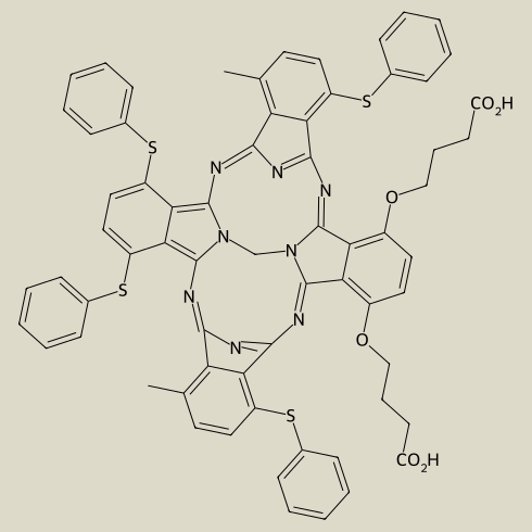 Cc1ccc(Sc2ccccc2)c2c1/C1=N/c3c4c(Sc5ccccc5)ccc(Sc5ccccc5)c4c4n3Cn3/c(c5c(OCCCC(=O)O)ccc(OCCCC(=O)O)c5/c3=N/C3=NC(=N\4)/c4c(C)ccc(Sc5ccccc5)c43)=N\C2=N1